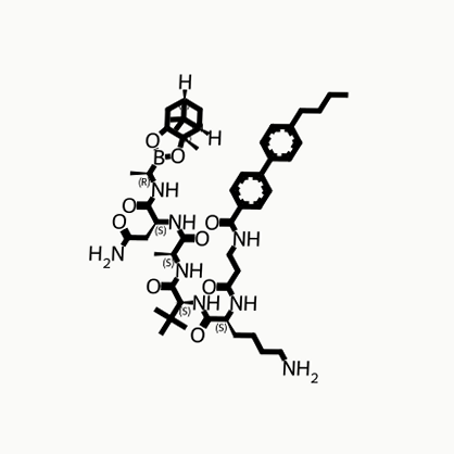 CCCCc1ccc(-c2ccc(C(=O)NCCC(=O)N[C@@H](CCCCN)C(=O)N[C@H](C(=O)N[C@@H](C)C(=O)N[C@@H](CC(N)=O)C(=O)N[C@@H](C)B3OC4C[C@@H]5C[C@@H](C5(C)C)[C@]4(C)O3)C(C)(C)C)cc2)cc1